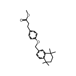 COC(=O)CCc1ccc(OCc2ccc3c(c2)C(C)(C)CCC3(C)C)cc1